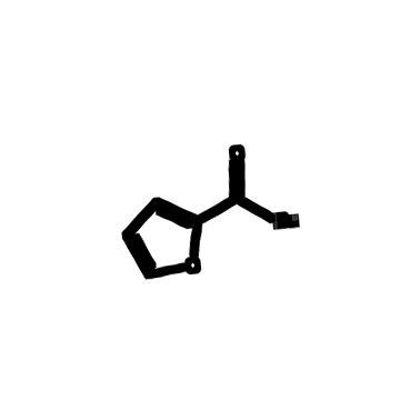 CCC(C)C(=O)c1ccco1